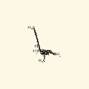 CCCCCCCCCCCCCCCCNCCC[C@@H](C)[C@H]1CC[C@H]2[C@@H]3[C@H](OCCCC)C[C@@H]4C[C@H](OCCCN)CC[C@]4(C)[C@H]3CC[C@]12C